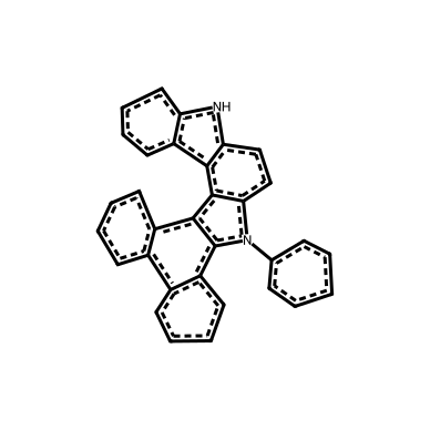 c1ccc(-n2c3ccc4[nH]c5ccccc5c4c3c3c4ccccc4c4ccccc4c32)cc1